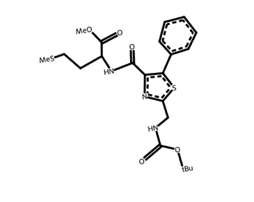 COC(=O)C(CCSC)NC(=O)c1nc(CNC(=O)OC(C)(C)C)sc1-c1ccccc1